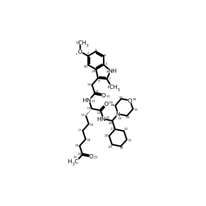 COc1ccc2[nH]c(C)c(CC(=O)N[C@@H](CCCCCC(C)=O)C(=O)NC(C3CCCCC3)N3CCOCC3)c2c1